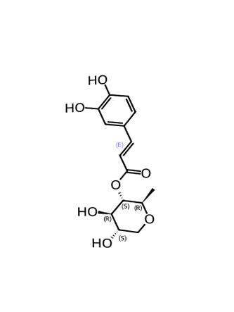 C[C@H]1OC[C@H](O)[C@@H](O)[C@@H]1OC(=O)/C=C/c1ccc(O)c(O)c1